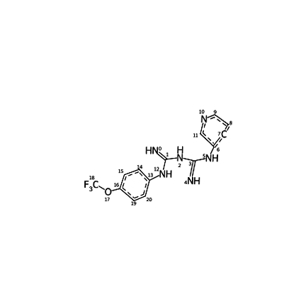 N=C(NC(=N)Nc1cccnc1)Nc1ccc(OC(F)(F)F)cc1